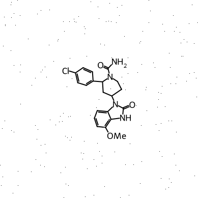 COc1cccc2c1[nH]c(=O)n2C1CCN(C(N)=O)C(c2ccc(Cl)cc2)C1